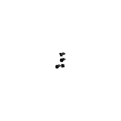 [B].[O-2].[O-2].[Ti+4]